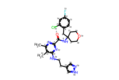 Cc1nc(C(=O)NC2(Cc3ccc(F)cc3Cl)CCOCC2)nc(NCCc2cn[nH]c2)c1C